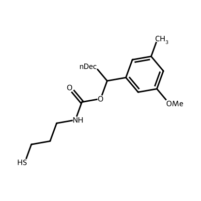 CCCCCCCCCCC(OC(=O)NCCCS)c1cc(C)cc(OC)c1